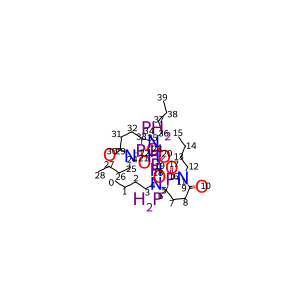 CCCCNC1(P)CCC(=O)N(CCCC)P1(=O)O[PH](=O)OP1(=O)N(CCCC)C(=O)CCC1(P)NCCCC